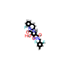 Cc1cc(F)c(CNC(=O)c2cn3c(c(O)c2=O)C(=O)N2C[C@@H]3CCc3cccc(F)c32)c(F)c1